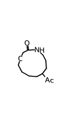 CC(=O)C1CCCCCCC(=O)NCCC1